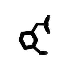 O=[C]c1cccc(C[SH](=O)=O)c1